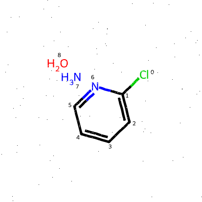 Clc1ccccn1.N.O